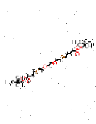 CC(C)(C)COC(=O)CCCCSCCOCCOCCSCCCC(=O)OCC(C)(C)C